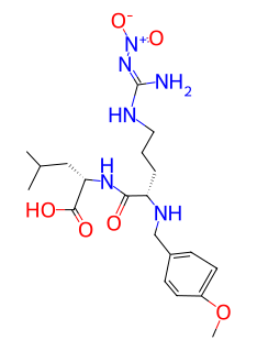 COc1ccc(CN[C@@H](CCCN/C(N)=N/[N+](=O)[O-])C(=O)N[C@@H](CC(C)C)C(=O)O)cc1